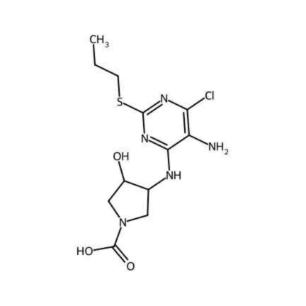 CCCSc1nc(Cl)c(N)c(NC2CN(C(=O)O)CC2O)n1